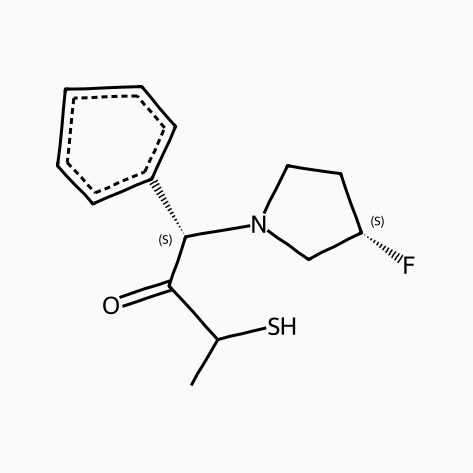 CC(S)C(=O)[C@H](c1ccccc1)N1CC[C@H](F)C1